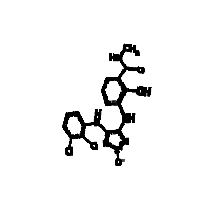 CNC(=O)c1cccc(Nc2n[s+]([O-])nc2Nc2cccc(Cl)c2Cl)c1O